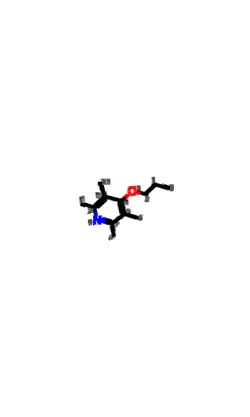 CCCOc1c(C)c(C)nc(C)c1C